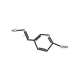 COc1ccc(/[C]=N/O)cn1